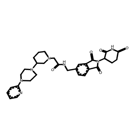 O=C(CN1CCCC(N2CCN(c3ccccn3)CC2)C1)NCc1ccc2c(c1)C(=O)N(C1CCC(=O)NC1=O)C2=O